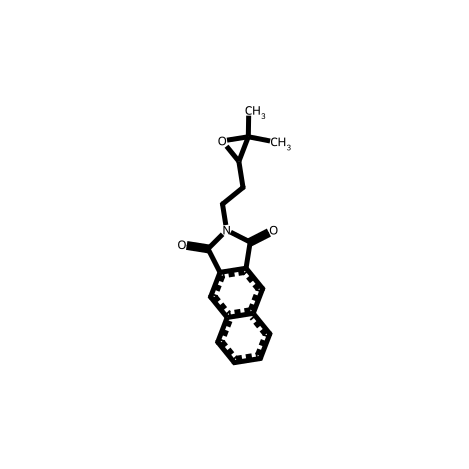 CC1(C)OC1CCN1C(=O)c2cc3ccccc3cc2C1=O